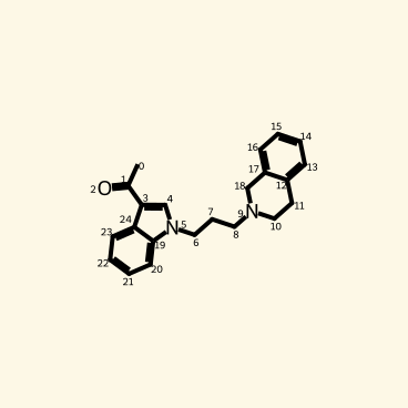 CC(=O)c1cn(CCCN2CCc3ccccc3C2)c2ccccc12